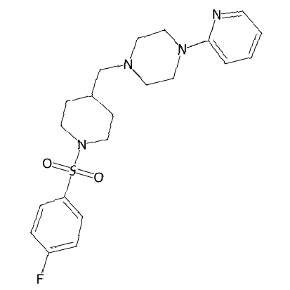 O=S(=O)(c1ccc(F)cc1)N1CCC(CN2CCN(c3ccccn3)CC2)CC1